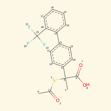 CC(=O)SC(C)(C(=O)O)c1ccc(-c2ccccc2C(F)(F)F)cc1